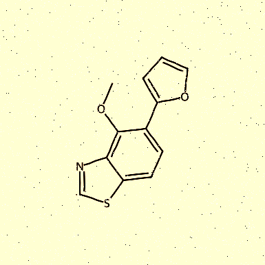 COc1c(-c2ccco2)ccc2s[c]nc12